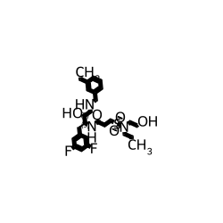 CCCN(CCO)S(=O)(=O)CCC(=O)N[C@@H](Cc1cc(F)cc(F)c1)[C@H](O)CNCc1cccc(CC)c1